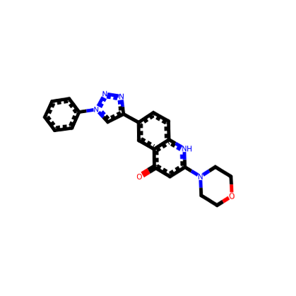 O=c1cc(N2CCOCC2)[nH]c2ccc(-c3cn(-c4ccccc4)nn3)cc12